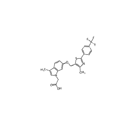 Cc1nc(-c2ccc(C(F)(F)F)cc2)sc1COc1ccc2c(C)cn(CC(=O)O)c2c1